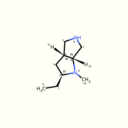 CC[C@H]1C[C@@H]2CNC[C@@H]2N1C